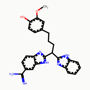 COc1cc(CCCC(c2nc3ccccc3[nH]2)c2nc3ccc(C(=N)N)cc3[nH]2)ccc1O